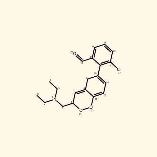 CCN(CC)CC1C=C2CC(c3c(Cl)cccc3C=O)=CC=C2OO1